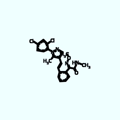 CNC(=O)C(=NOC)c1ccccc1C=Cc1cnn(-c2ccc(Cl)cc2Cl)c1C